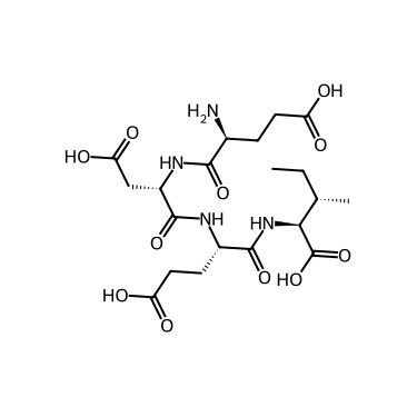 CC[C@H](C)[C@H](NC(=O)[C@H](CCC(=O)O)NC(=O)[C@H](CC(=O)O)NC(=O)[C@@H](N)CCC(=O)O)C(=O)O